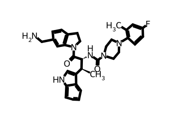 Cc1cc(F)ccc1N1CCN(C(=O)N[C@@H](C(=O)N2CCc3ccc(CN)cc32)[C@@H](C)c2c[nH]c3ccccc23)CC1